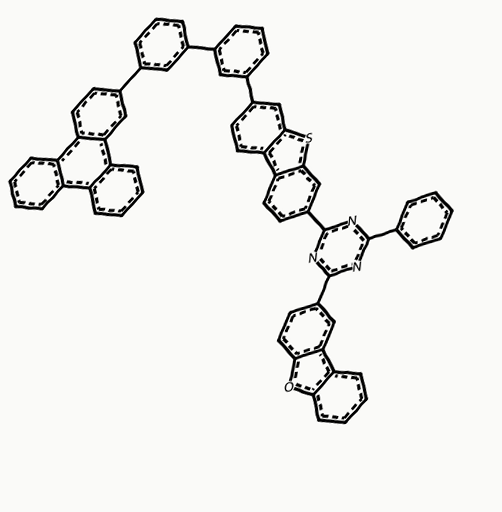 c1ccc(-c2nc(-c3ccc4c(c3)sc3cc(-c5cccc(-c6cccc(-c7ccc8c9ccccc9c9ccccc9c8c7)c6)c5)ccc34)nc(-c3ccc4oc5ccccc5c4c3)n2)cc1